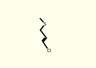 CSCC=CCl